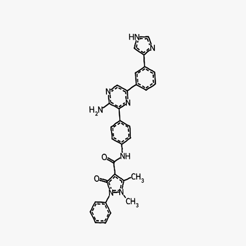 Cc1c(C(=O)Nc2ccc(-c3nc(-c4cccc(-c5c[nH]cn5)c4)cnc3N)cc2)c(=O)n(-c2ccccc2)n1C